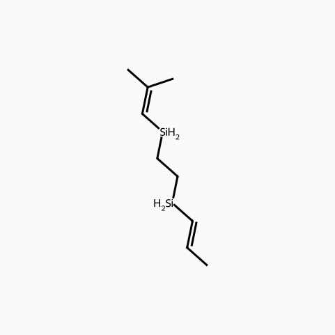 CC=C[SiH2]CC[SiH2]C=C(C)C